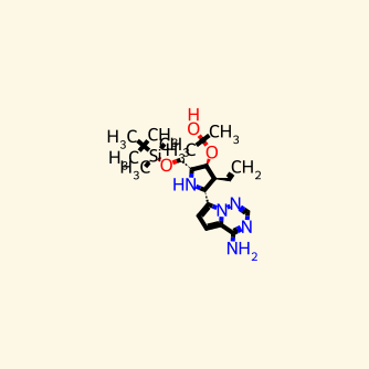 C=C[C@@H]1[C@H](OC(C)(C)O)[C@@H](CO[Si](C)(C)C(C)(C)C)N[C@H]1c1ccc2c(N)ncnn12